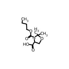 CCCCOC(=O)N1C(C(=O)O)COC1(C)C